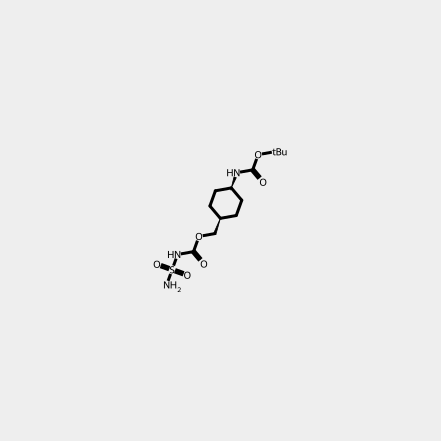 CC(C)(C)OC(=O)N[C@H]1CC[C@@H](COC(=O)NS(N)(=O)=O)CC1